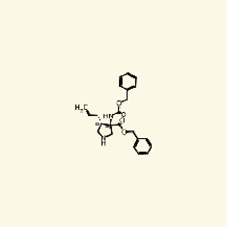 C=CC[C@H]1CNC[C@@]1(NC(=O)OCc1ccccc1)C(=O)OCc1ccccc1